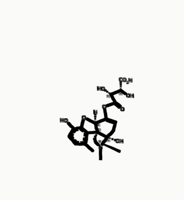 Cc1ccc(O)c2c1[C@]13CCN(C)[C@H](C)[C@]1(O)CC=C(OC(=O)[C@H](O)[C@@H](O)C(=O)O)[C@@H]3O2